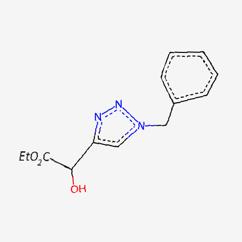 CCOC(=O)C(O)c1cn(Cc2ccccc2)nn1